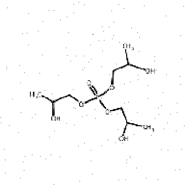 CC(O)COP(=O)(OCC(C)O)OCC(C)O